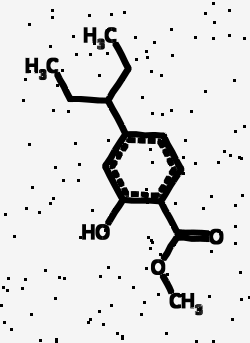 CCC(CC)c1ccc(C(=O)OC)c(O)c1